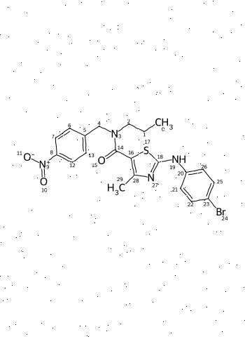 CCCN(Cc1ccc([N+](=O)[O-])cc1)C(=O)c1sc(Nc2ccc(Br)cc2)nc1C